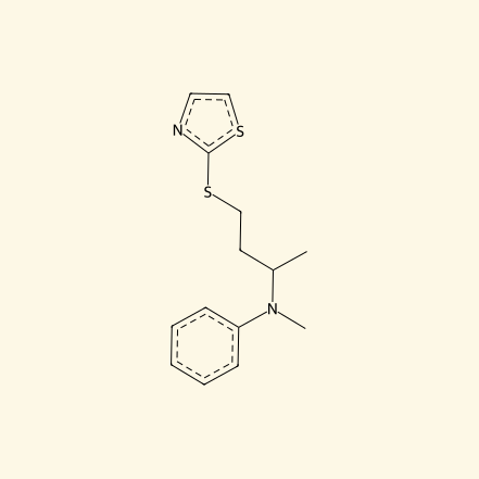 CC(CCSc1nccs1)N(C)c1ccccc1